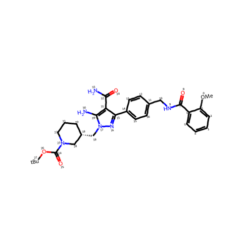 COc1ccccc1C(=O)NCc1ccc(-c2nn(C[C@H]3CCCN(C(=O)OC(C)(C)C)C3)c(N)c2C(N)=O)cc1